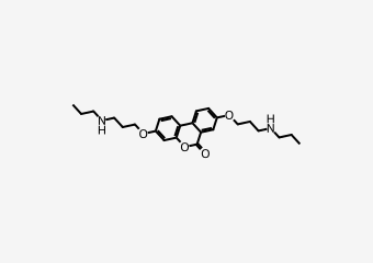 CCCNCCCOc1ccc2c(c1)oc(=O)c1cc(OCCCNCCC)ccc12